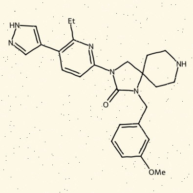 CCc1nc(N2CC3(CCNCC3)N(Cc3cccc(OC)c3)C2=O)ccc1-c1cn[nH]c1